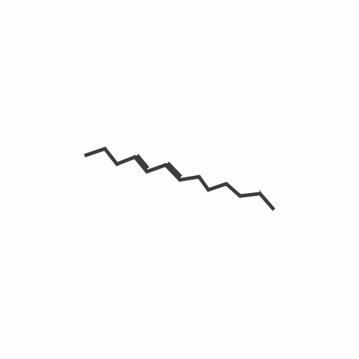 C[CH]CCCC/C=C/C=C/CCC